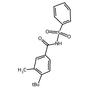 Cc1cc(C(=O)NS(=O)(=O)c2ccccc2)ccc1C(C)(C)C